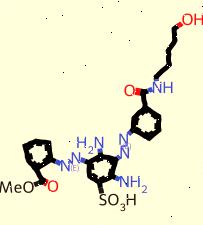 COC(=O)c1ccccc1/N=N/c1cc(S(=O)(=O)O)c(N)c(/N=N/c2cccc(C(=O)NCCCCCO)c2)c1N